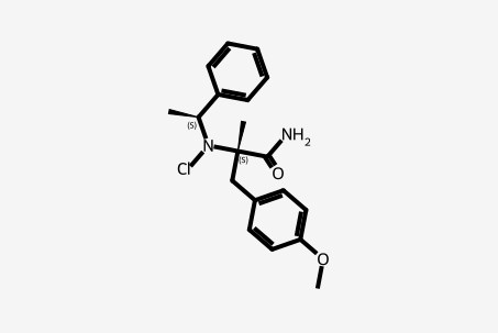 COc1ccc(C[C@@](C)(C(N)=O)N(Cl)[C@@H](C)c2ccccc2)cc1